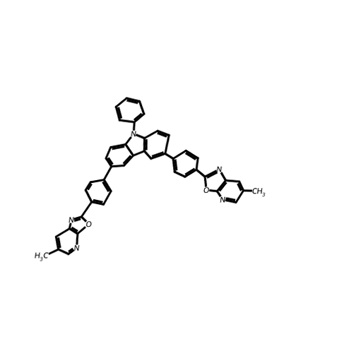 Cc1cnc2oc(-c3ccc(-c4ccc5c(c4)c4cc(-c6ccc(-c7nc8cc(C)cnc8o7)cc6)ccc4n5-c4ccccc4)cc3)nc2c1